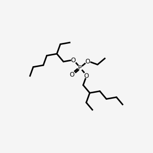 CCCCC(CC)COP(=O)(OCC)OCC(CC)CCCC